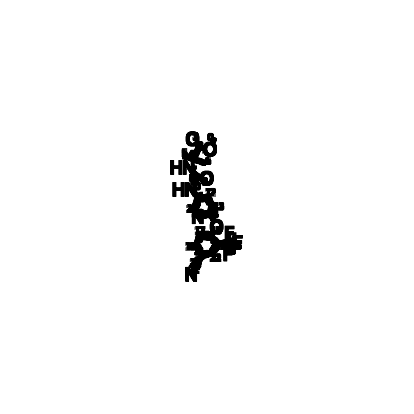 COC(=O)C(C)(C)NC(=O)Nc1ccc(Oc2ccc(C#N)cc2C(F)(F)F)nc1